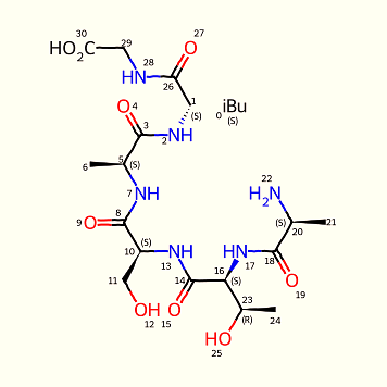 CC[C@H](C)[C@H](NC(=O)[C@H](C)NC(=O)[C@H](CO)NC(=O)[C@@H](NC(=O)[C@H](C)N)[C@@H](C)O)C(=O)NCC(=O)O